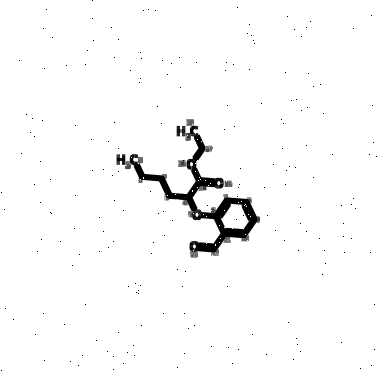 CCCCC(Oc1ccccc1C=O)C(=O)OCC